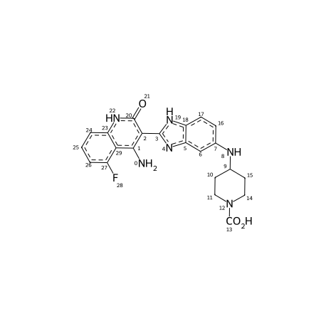 Nc1c(-c2nc3cc(NC4CCN(C(=O)O)CC4)ccc3[nH]2)c(=O)[nH]c2cccc(F)c12